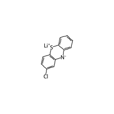 Clc1ccc2c(c1)[N-]c1ccccc1S2.[Li+]